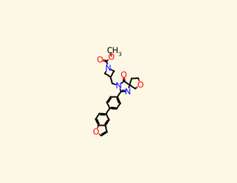 COC(=O)N1CC(CN2C(=O)C3(CCOC3)N=C2c2ccc(-c3ccc4occc4c3)cc2)C1